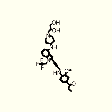 CCC(=O)c1ccc(NCC#Cc2cc3c(NC4CCN(CC(O)CO)CC4)cccc3n2CC(F)(F)F)c(OC)c1